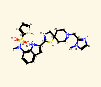 CN(c1cccc2cc(C3=NCC4(CCN(Cc5nccn5C)CC4)S3)[nH]c12)S(=O)(=O)c1cccs1